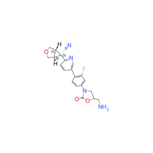 N#C[C@]1(c2ccc(-c3ccc(N4CC(CN)OC4=O)cc3F)cn2)[C@@H]2COC[C@@H]21